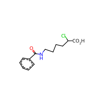 O=C(NCCCCC(Cl)C(=O)O)c1ccccc1